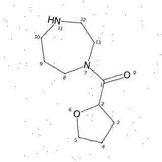 O=C(C1CCCO1)N1CCCNCC1